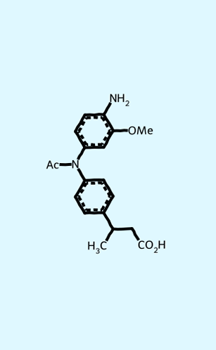 COc1cc(N(C(C)=O)c2ccc(C(C)CC(=O)O)cc2)ccc1N